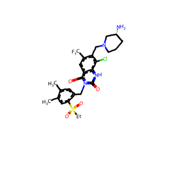 CCS(=O)(=O)c1cc(C)c(C)cc1Cn1c(=O)[nH]c2c(Cl)c(CN3CCC[C@@H](N)C3)c(C(F)(F)F)cc2c1=O